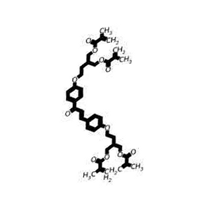 C=C(C)C(=O)OCC(CCOc1ccc(/C=C/C(=O)c2ccc(OCCC(COC(=O)C(=C)C)COC(=O)C(=C)C)cc2)cc1)COC(=O)C(=C)C